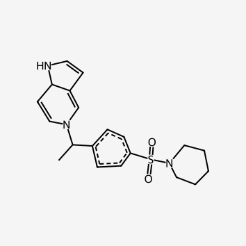 CC(c1ccc(S(=O)(=O)N2CCCCC2)cc1)N1C=CC2NC=CC2=C1